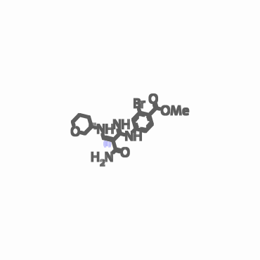 COC(=O)c1ccc(NC(=N)/C(=C\N[C@@H]2CCCOC2)C(N)=O)cc1Br